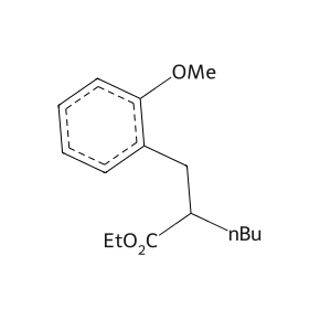 CCCCC(Cc1ccccc1OC)C(=O)OCC